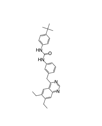 CCc1cc2ncnc(Cc3cccc(NC(=O)Nc4ccc(C(C)(C)C)cc4)c3)c2cc1CC